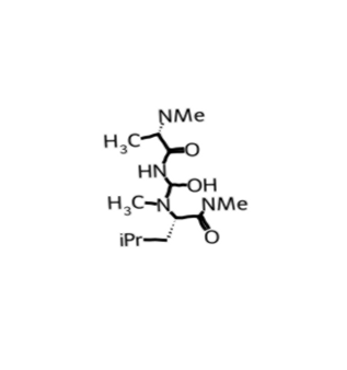 CNC(=O)[C@H](CC(C)C)N(C)C(O)NC(=O)[C@H](C)NC